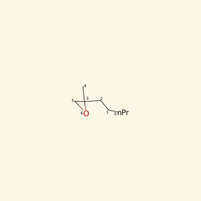 CCCCCC1(C)CO1